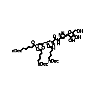 CCCCCCCCCCCCCCC(=O)N[C@H](CSC[C@@H](COC(=O)CCCCCCCCCCCCCC)OC(=O)CCCCCCCCCCCCCC)C(=O)Nc1cn([C@H]2OC(CO)[C@@H](O)[C@@H]2O)nn1